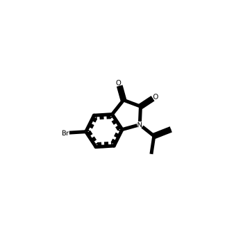 C=C(C)N1C(=O)C(=O)c2cc(Br)ccc21